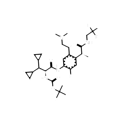 C[C@H](C(=O)NCC(F)(F)F)c1cc(F)c(NC(=O)[C@@H](NC(=O)OC(C)(C)C)C(C2CC2)C2CC2)cc1CCN(C)C